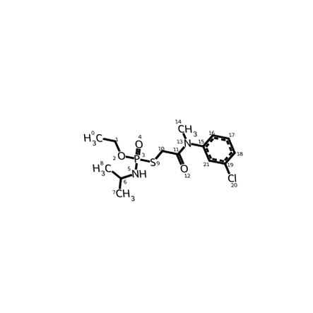 CCOP(=O)(NC(C)C)SCC(=O)N(C)c1cccc(Cl)c1